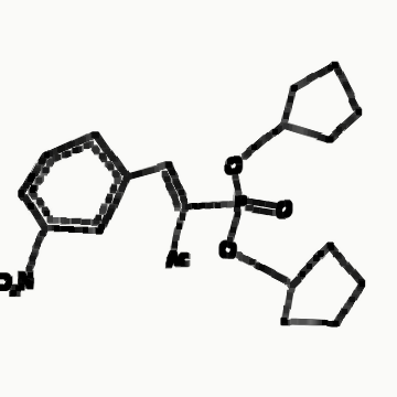 CC(=O)C(=Cc1cccc([N+](=O)[O-])c1)P(=O)(OC1CCCC1)OC1CCCC1